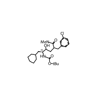 CNC(=O)C(Cc1cccc(Cl)c1)CC(O)[C@H](CC1CCCCC1)NC(=O)OC(C)(C)C